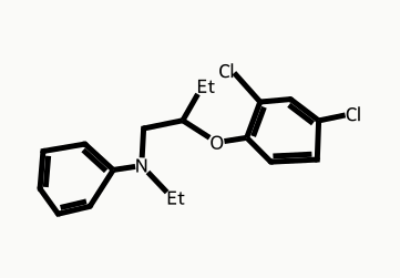 CCC(CN(CC)c1ccccc1)Oc1ccc(Cl)cc1Cl